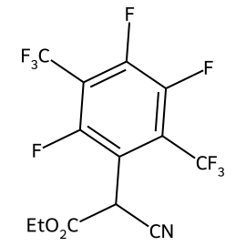 CCOC(=O)C(C#N)c1c(F)c(C(F)(F)F)c(F)c(F)c1C(F)(F)F